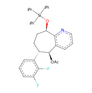 CC(=O)O[C@@H]1c2cccnc2[C@H](O[Si](C(C)C)(C(C)C)C(C)C)CC[C@H]1c1cccc(F)c1F